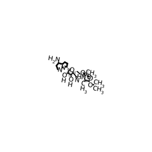 CC(C)OC(=O)[C@H](C)N[P@](C)(=O)OCC[C@@]1(C#N)O[C@@H](c2ccc3c(N)ccnn23)[C@H](O)[C@@H]1O